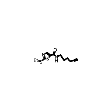 C#CCCCCNC(=O)c1cnc(SCC)s1